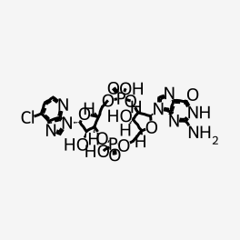 Nc1nc2c(ncn2[C@@H]2O[C@@H]3COP(=O)(O)O[C@H]4[C@@H](O)[C@H](n5cnc6c(Cl)ccnc65)O[C@@H]4COP(=O)(O)O[C@@H]2[C@@H]3O)c(=O)[nH]1